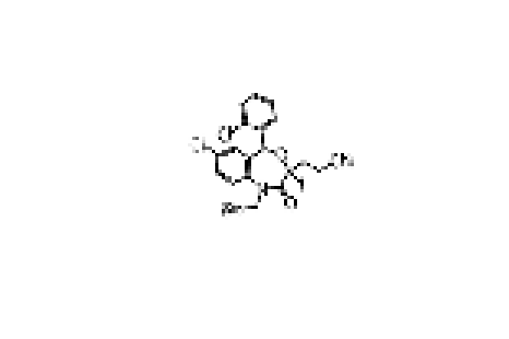 CC(C)CN1C(=O)C(I)(CCC#N)OC(c2ccccc2Cl)c2cc(Cl)ccc21